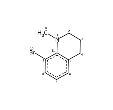 CN1CCCc2cccc(Br)c21